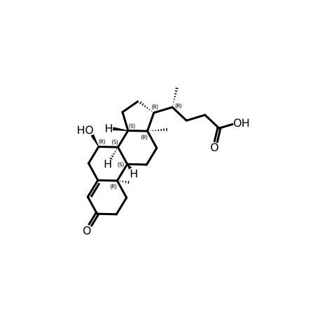 C[C@H](CCC(=O)O)[C@H]1CC[C@H]2[C@@H]3[C@H](O)CC4=CC(=O)CC[C@]4(C)[C@H]3CC[C@]12C